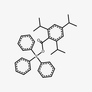 CC(C)c1cc(C(C)C)c(C(=O)OS(c2ccccc2)(c2ccccc2)c2ccccc2)c(C(C)C)c1